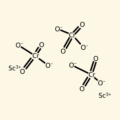 [O]=[Cr](=[O])([O-])[O-].[O]=[Cr](=[O])([O-])[O-].[O]=[Cr](=[O])([O-])[O-].[Sc+3].[Sc+3]